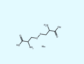 NC(CSSCC(N)C(=O)O)C(=O)O.[Mn]